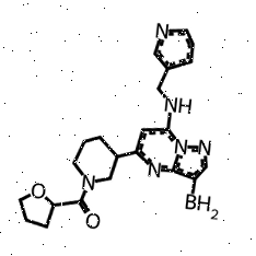 Bc1cnn2c(NCc3cccnc3)cc(C3CCCN(C(=O)C4CCCO4)C3)nc12